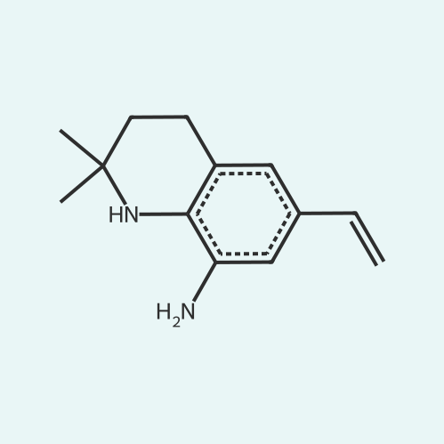 C=Cc1cc(N)c2c(c1)CCC(C)(C)N2